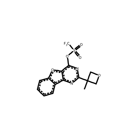 CC1(c2nc(OS(=O)(=O)C(F)(F)F)c3oc4ccccc4c3n2)COC1